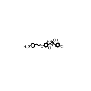 Cc1[nH]c(-c2ccc(OCCCC3CCN(C)CC3)cc2Cl)nc1-c1ccc(Cl)cc1